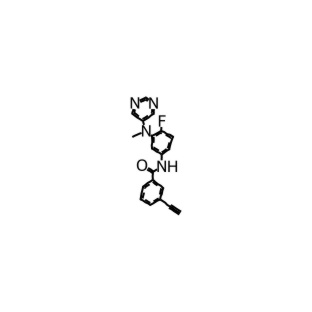 C#Cc1cccc(C(=O)Nc2ccc(F)c(N(C)c3cncnc3)c2)c1